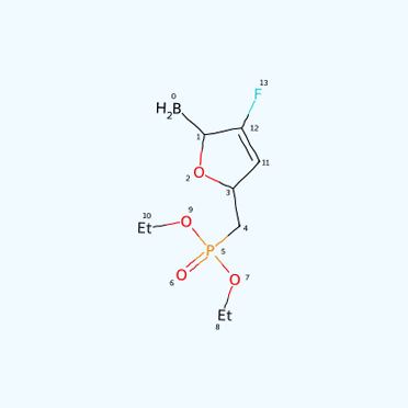 BC1OC(CP(=O)(OCC)OCC)C=C1F